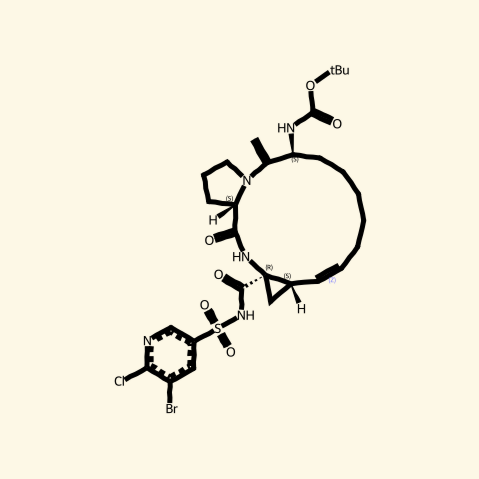 C=C1[C@@H](NC(=O)OC(C)(C)C)CCCCC/C=C\[C@@H]2C[C@@]2(C(=O)NS(=O)(=O)c2cnc(Cl)c(Br)c2)NC(=O)[C@@H]2CCCN12